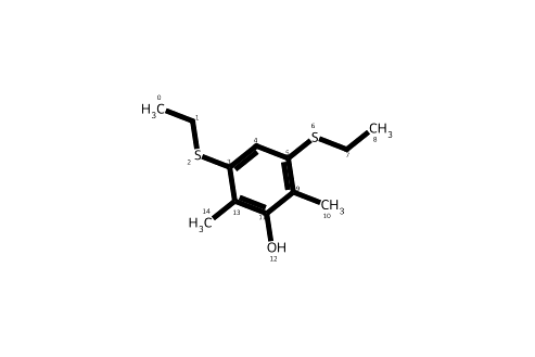 CCSc1cc(SCC)c(C)c(O)c1C